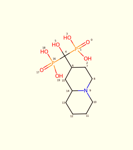 O=P(O)(O)C(O)(C1CCN2CCCCC2C1)P(=O)(O)O